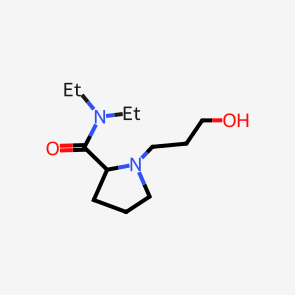 CCN(CC)C(=O)C1CCCN1CCCO